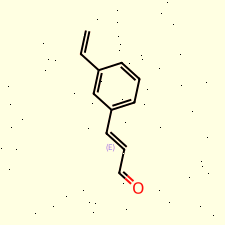 C=Cc1cccc(/C=C/C=O)c1